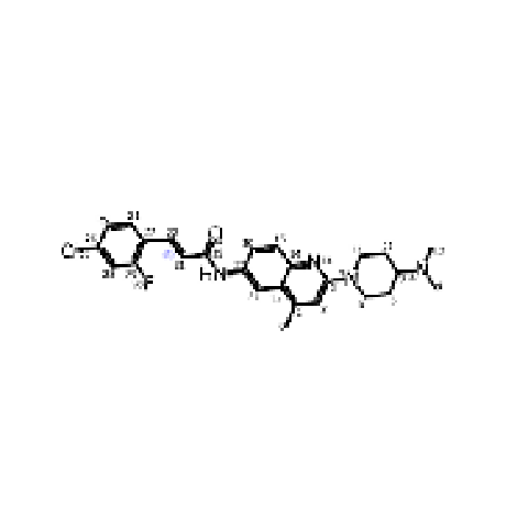 Cc1cc(N2CCC(N(C)C)CC2)nc2ccc(NC(=O)/C=C/c3ccc(Cl)cc3F)cc12